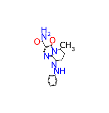 CC1CCC(=NNc2ccccc2)c2ncc(C(N)=O)c(=O)n21